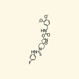 COc1ccc(CNC(=O)OC2=NOC3(CCN(C(=S)Nc4ccc(F)cc4)CC3)C2)cc1OC